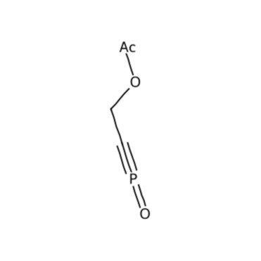 CC(=O)OCC#P=O